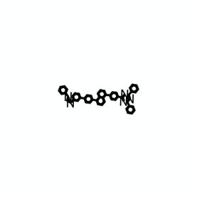 c1ccc(-c2nc(-c3ccccc3)nc(-c3ccc(-c4cccc5c(-c6ccc(-c7ccc8c(c7)ncn8-c7ccccc7)cc6)cccc45)cc3)n2)cc1